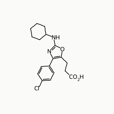 O=C(O)CCc1oc(NC2CCCCC2)nc1-c1ccc(Cl)cc1